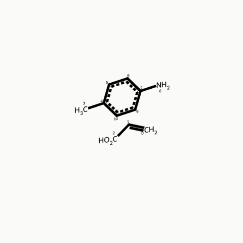 C=CC(=O)O.Cc1ccc(N)cc1